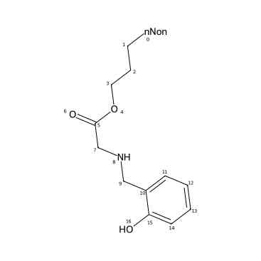 CCCCCCCCCCCCOC(=O)CNCc1ccccc1O